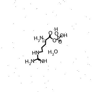 N=C(N)NCCC[C@H](N)C(=O)OP(=O)(O)O.O